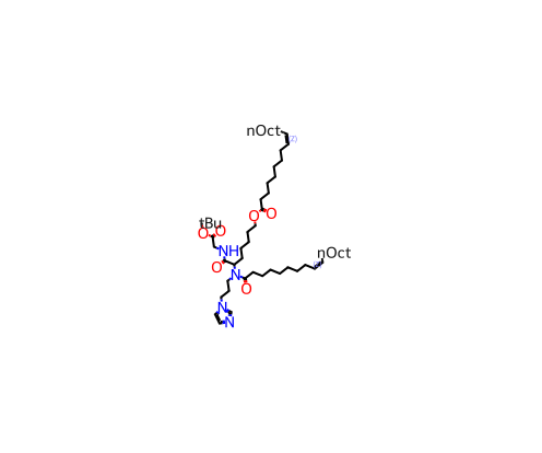 CCCCCCCC/C=C\CCCCCCCC(=O)OCCCCCC(C(=O)NCC(=O)OC(C)(C)C)N(CCCn1ccnc1)C(=O)CCCCCCC/C=C\CCCCCCCC